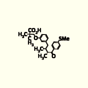 CSc1ccc(C(=O)[C@H](C)[C@@H](C)Cc2cccc(OCC(C)(C)C(=O)O)c2)cc1